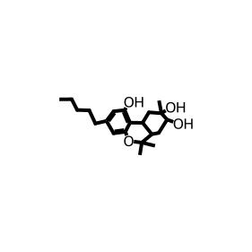 CCCCCc1cc(O)c2c(c1)OC(C)(C)C1CC(O)C(C)(O)CC21